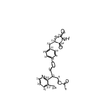 CC(=O)OCC(COc1ccc(CC2SC(=O)NC2=O)cc1)c1ncccc1C